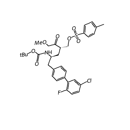 COCC(=O)[C@H](COS(=O)(=O)c1ccc(C)cc1)C[C@@H](Cc1ccc(-c2cc(Cl)ccc2F)cc1)NC(=O)OC(C)(C)C